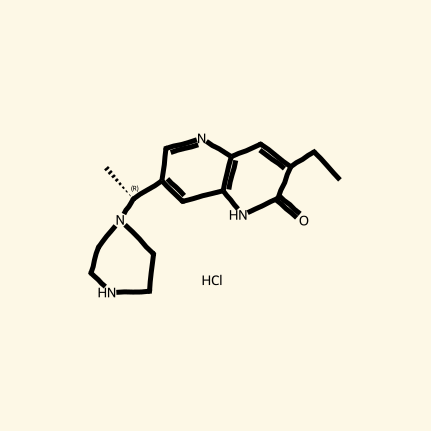 CCc1cc2ncc([C@@H](C)N3CCNCC3)cc2[nH]c1=O.Cl